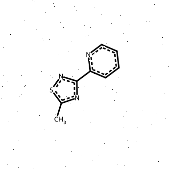 Cc1nc(-c2ccccn2)ns1